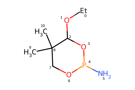 CCOC1OP(N)OCC1(C)C